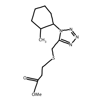 COC(=O)CCSCc1nnnn1C1CCCCC1C